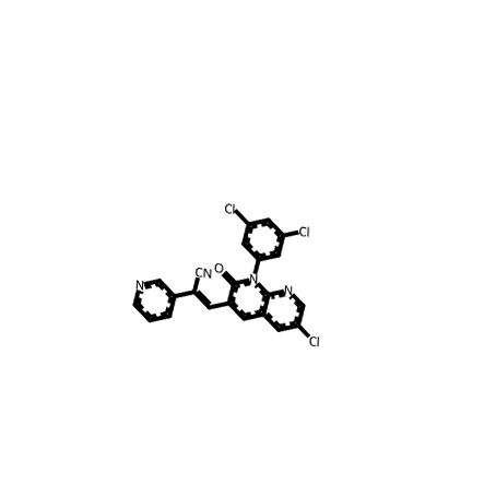 N#CC(=Cc1cc2cc(Cl)cnc2n(-c2cc(Cl)cc(Cl)c2)c1=O)c1cccnc1